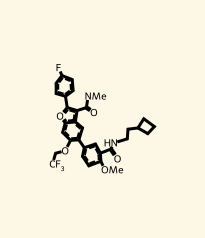 CNC(=O)c1c(-c2ccc(F)cc2)oc2cc(OCC(F)(F)F)c(-c3ccc(OC)c(C(=O)NCCC4CCC4)c3)cc12